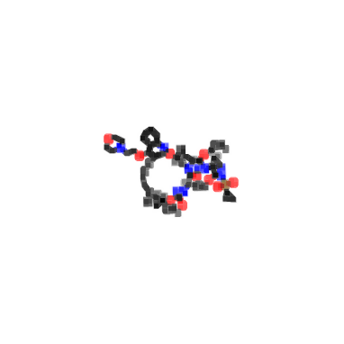 C=C[C@@H]1C[C@]1(NC(=O)[C@@H]1C[C@@H]2CN1C(=O)[C@H](C(C)(C)C)NC(=O)O[C@]1(C)C[C@H]1CCCCCc1c(nc3ccccc3c1OCCN1CCOCC1)O2)C(=O)NS(=O)(=O)C1CC1